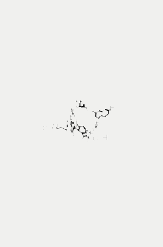 Cc1c(C(=O)O)n2c3ccc(Cl)c(c13)-c1c(nn(CCCN)c1C)CSCc1cc(n(C)n1)CCc1cc(c3ccc(F)cc3c1)OCCC2